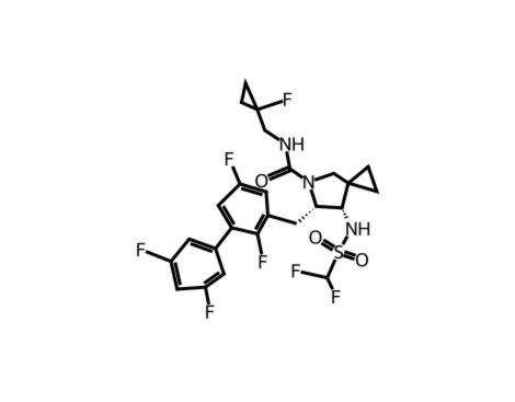 O=C(NCC1(F)CC1)N1CC2(CC2)[C@H](NS(=O)(=O)C(F)F)[C@@H]1Cc1cc(F)cc(-c2cc(F)cc(F)c2)c1F